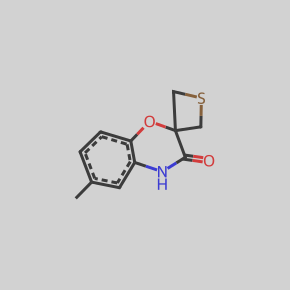 Cc1ccc2c(c1)NC(=O)C1(CSC1)O2